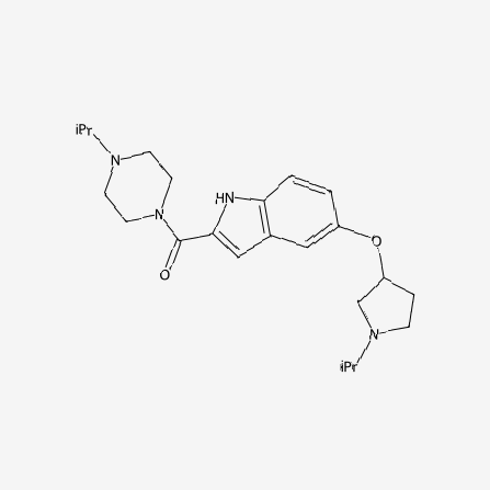 CC(C)N1CCN(C(=O)c2cc3cc(OC4CCN(C(C)C)C4)ccc3[nH]2)CC1